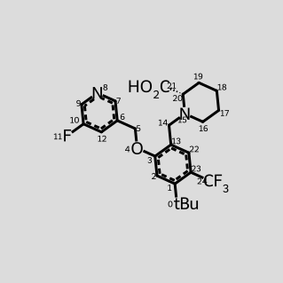 CC(C)(C)c1cc(OCc2cncc(F)c2)c(CN2CCCC[C@H]2C(=O)O)cc1C(F)(F)F